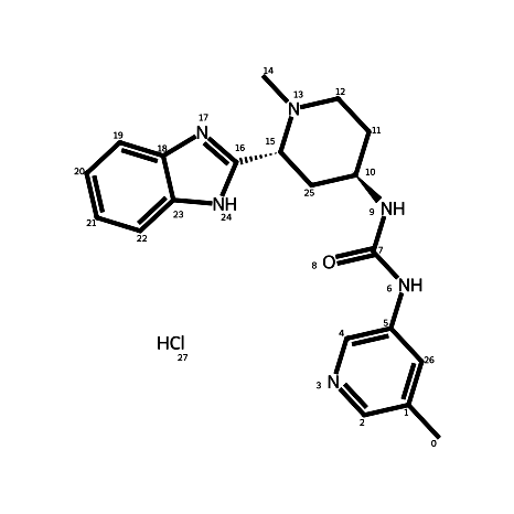 Cc1cncc(NC(=O)N[C@@H]2CCN(C)[C@@H](c3nc4ccccc4[nH]3)C2)c1.Cl